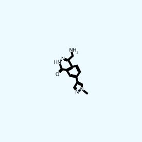 Cn1cc(-c2ccc3c(CN)n[nH]c(=O)c3c2)cn1